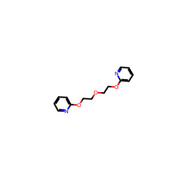 c1ccc(OCCOCCOc2ccccn2)nc1